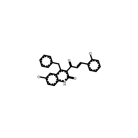 O=C(/C=C/c1ccccc1Cl)c1c(Cc2ccccc2)c2cc(Cl)ccc2[nH]c1=O